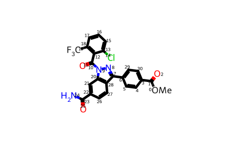 COC(=O)c1ccc(-c2nn(C(=O)c3c(Cl)cccc3C(F)(F)F)c3cc(C(N)=O)ccc23)cc1